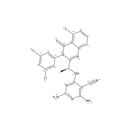 C[C@H](Nc1nc(N)nc(N)c1C#N)c1nc2cccc(F)c2c(=O)n1-c1cc(F)cc(Cl)c1